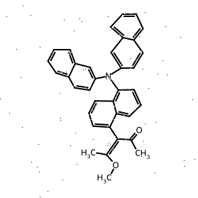 CO/C(C)=C(\C(C)=O)c1cccc2c(N(c3ccc4ccccc4c3)c3ccc4ccccc4c3)cccc12